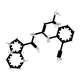 C#Cc1ccccc1N/C(=C\C(C)=N)NC(=O)c1cnn2cccnc12